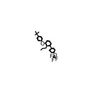 CCCc1c(Oc2ccc(C(C)(C)C)cc2)cccc1-c1ccc(OC(F)(F)F)cc1